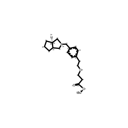 CC(C)(C)OC(=O)CCOCCc1ccc(CN2CC3CCC[C@H]3C2)cc1